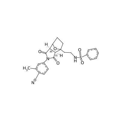 Cc1cc(N2C(=O)[C@H]3C4CCC(CCNS(=O)(=O)c5ccccc5)(O4)[C@H]3C2=O)ccc1C#N